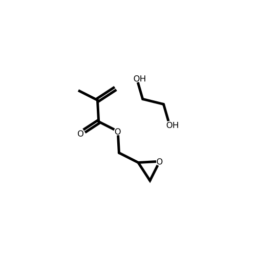 C=C(C)C(=O)OCC1CO1.OCCO